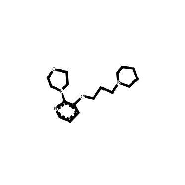 [c]1ccnc(N2CCOCC2)c1OCCCN1CCCCC1